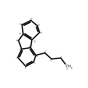 CCCCc1cccc2c1-c1ccc[c]c1C2